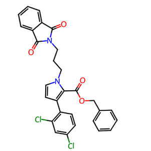 O=C(OCc1ccccc1)c1c(-c2ccc(Cl)cc2Cl)ccn1CCCN1C(=O)c2ccccc2C1=O